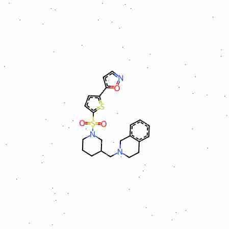 O=S(=O)(c1ccc(-c2ccno2)s1)N1CCCC(CN2CCc3ccccc3C2)C1